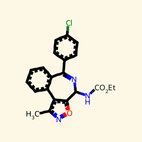 CCOC(=O)NC1N=C(c2ccc(Cl)cc2)c2ccccc2-c2c(C)noc21